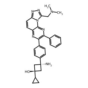 CN(C)Cc1nnc2ccc3nc(-c4ccc([C@]5(N)C[C@@](O)(C6CC6)C5)cc4)c(-c4ccccc4)nc3n12